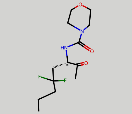 CCCC(F)(F)C[C@H](NC(=O)N1CCOCC1)C(C)=O